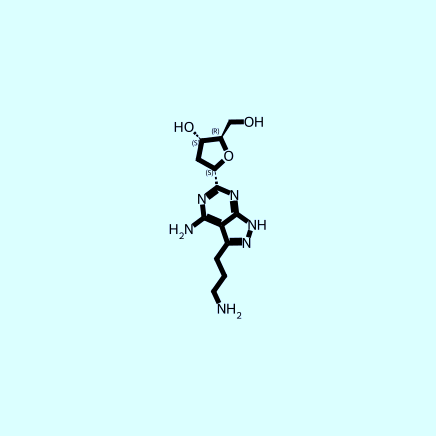 NCCCc1n[nH]c2nc([C@@H]3C[C@H](O)[C@@H](CO)O3)nc(N)c12